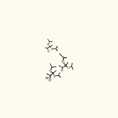 CC(C)OC(C)(OC(C)C)C(C)[O-].CC(C)OC(C)(OC(C)C)C(C)[O-].CC(C)OC(C)(OC(C)C)C(C)[O-].[Al+3]